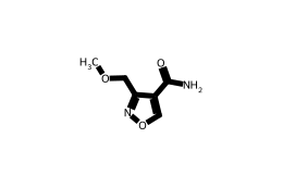 COCc1nocc1C(N)=O